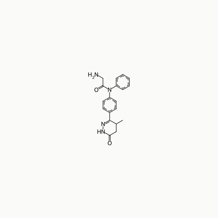 CC1CC(=O)NN=C1c1ccc(N(C(=O)CN)c2ccccc2)cc1